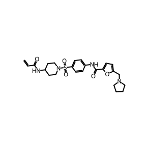 C=CC(=O)NC1CCN(S(=O)(=O)c2ccc(NC(=O)c3ccc(CN4CCCC4)o3)cc2)CC1